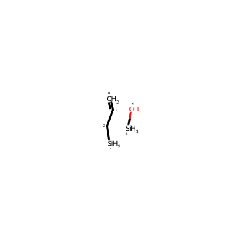 C=CC[SiH3].O[SiH3]